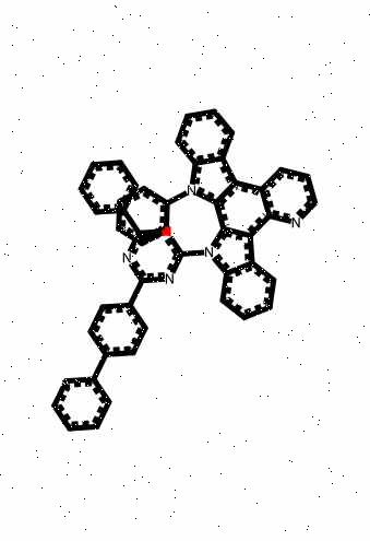 c1ccc(-c2ccc(-c3nc(-c4ccccc4)nc(-n4c5ccccc5c5c6ncccc6c6c7ccccc7n(-c7ccccc7)c6c54)n3)cc2)cc1